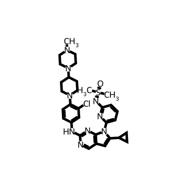 CN1CCN(C2CCN(c3ccc(Nc4ncc5cc(C6CC6)n(-c6cccc(N=S(C)(C)=O)n6)c5n4)cc3Cl)CC2)CC1